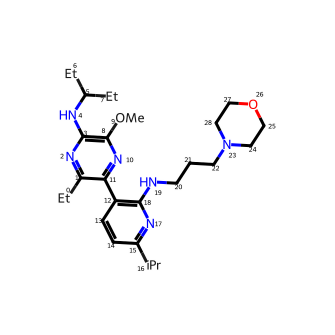 CCc1nc(NC(CC)CC)c(OC)nc1-c1ccc(C(C)C)nc1NCCCN1CCOCC1